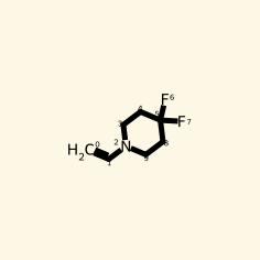 C=CN1CCC(F)(F)CC1